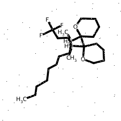 CCCCCCCC[SiH](C)C1(C2([SiH](C)CCC(F)(F)F)CCCCO2)CCCCO1